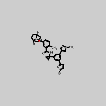 CCn1ccc(-c2cc(-c3cnn(C)c3)cc(C3(NC(=O)c4cc(N5C[C@H]6CC[C@@H](C5)N6C)ccc4C)CC3)c2)n1